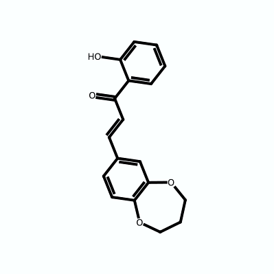 O=C(C=Cc1ccc2c(c1)OCCCO2)c1ccccc1O